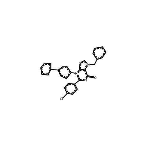 O=c1nc(-c2ccc(Cl)cc2)n(-c2ccc(-c3ccccc3)cc2)c2ncn(Cc3ccccc3)c12